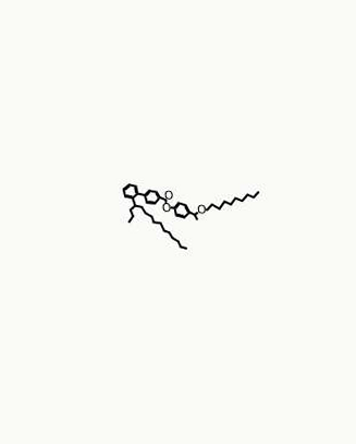 CCCCCCCCCCCC(CCC)c1ccccc1-c1ccc(C(=O)Oc2ccc(C(C)OCCCCCCCCCC)cc2)cc1